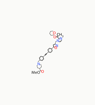 COC(=O)C1CCN(Cc2ccc(C#Cc3ccc(-c4cc(Cn5ccnc5[C@H](C)OC5CCCCO5)no4)cc3)cc2)CC1